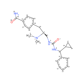 CN(C)[C@H](CNC(=O)NC(c1ccccc1)C1CC1)Cc1ccc(C(N)=O)cc1